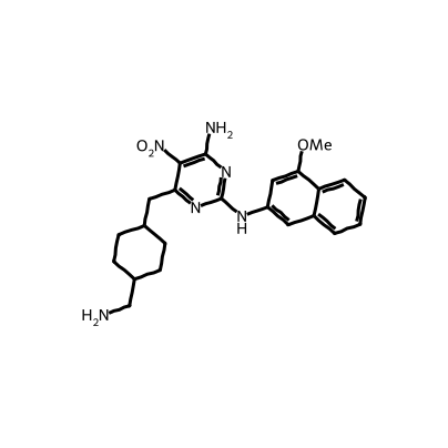 COc1cc(Nc2nc(N)c([N+](=O)[O-])c(CC3CCC(CN)CC3)n2)cc2ccccc12